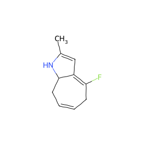 CC1=CC2=C(F)CC=CCC2N1